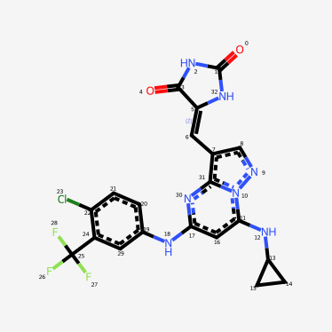 O=C1NC(=O)/C(=C/c2cnn3c(NC4CC4)cc(Nc4ccc(Cl)c(C(F)(F)F)c4)nc23)N1